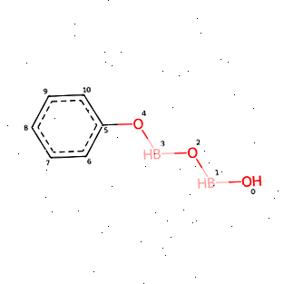 OBOBOc1ccccc1